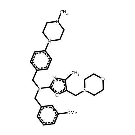 COc1cccc(CN(Cc2ccc(N3CCN(C)CC3)cc2)c2nc(C)c(CN3CCOCC3)o2)c1